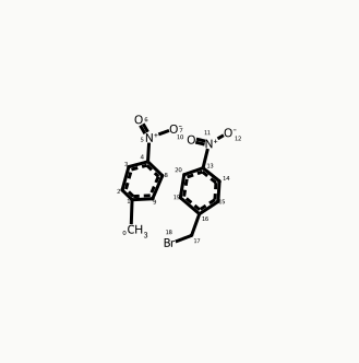 Cc1ccc([N+](=O)[O-])cc1.O=[N+]([O-])c1ccc(CBr)cc1